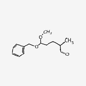 COC(CCC(C)C=O)OCc1ccccc1